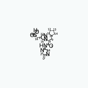 Cc1cnc(NC(=O)[C@H](CC2CCCC2)n2cc(C[SH](=O)=O)cn2)cn1